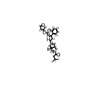 CC(C)CC(=O)N1CC2CN(CCC(NC(=O)OC3CCOC3)c3ccccc3)C[C@H]2C1